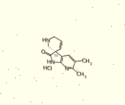 Cc1cc2c(nc1C)NC(=O)[C@@]21C=CCNC1.Cl